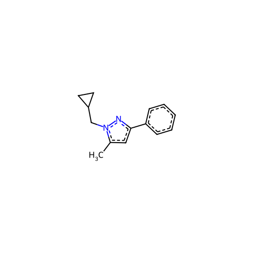 Cc1cc(-c2ccccc2)nn1CC1CC1